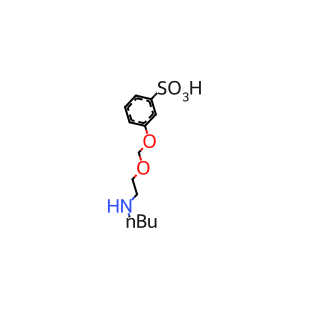 CCCCNCCOCOc1cccc(S(=O)(=O)O)c1